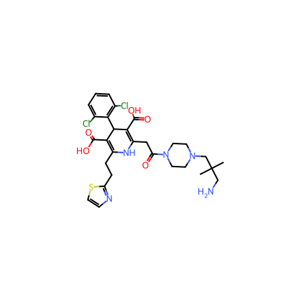 CC(C)(CN)CN1CCN(C(=O)CC2=C(C(=O)O)C(c3c(Cl)cccc3Cl)C(C(=O)O)=C(CCc3nccs3)N2)CC1